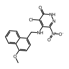 COc1ccc(CNc2c([N+](=O)[O-])n[nH]c(=O)c2Cl)c2ccccc12